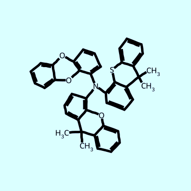 CC1(C)c2ccccc2Oc2c(N(c3cccc4c3Oc3ccccc3O4)c3cccc4c3Sc3ccccc3C4(C)C)cccc21